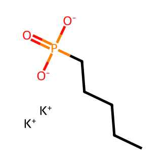 CCCCCP(=O)([O-])[O-].[K+].[K+]